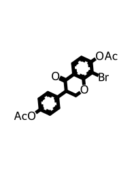 CC(=O)Oc1ccc(C2COc3c(ccc(OC(C)=O)c3Br)C2=O)cc1